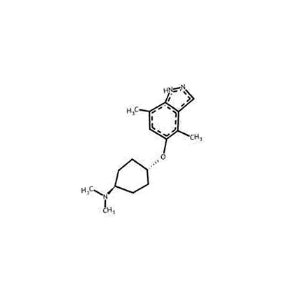 Cc1c(O[C@H]2CC[C@H](N(C)C)CC2)cc(C)c2[nH]ncc12